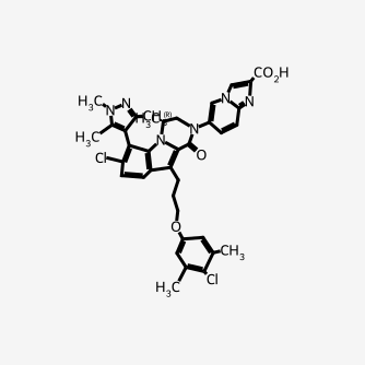 Cc1cc(OCCCc2c3n(c4c(-c5c(C)nn(C)c5C)c(Cl)ccc24)[C@H](C)CN(c2ccc4nc(C(=O)O)cn4c2)C3=O)cc(C)c1Cl